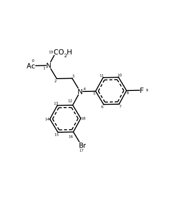 CC(=O)N(CCN(c1ccc(F)cc1)c1cccc(Br)c1)C(=O)O